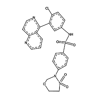 O=S(=O)(Nc1ccc(Cl)c(-c2nccc3ncccc23)c1)c1ccc(N2COCCS2(=O)=O)cc1